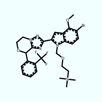 COc1c(Br)ccc2c1cc(-c1nc3n(n1)CCOC3c1ccccc1C(F)(F)F)n2COCC[Si](C)(C)C